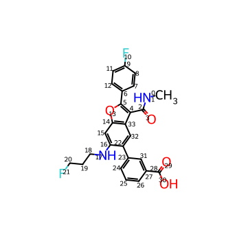 CNC(=O)c1c(-c2ccc(F)cc2)oc2cc(NCCCF)c(-c3cccc(C(=O)O)c3)cc12